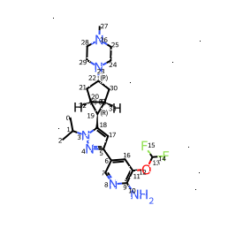 CC(C)n1nc(-c2cnc(N)c(OC(F)F)c2)cc1[C@H]1[C@@H]2C[C@H](N3CCN(C)CC3)C[C@@H]21